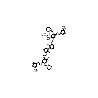 Cc1c(COc2cc(OCc3cncc(C#N)c3)c(CN3CCCC[C@H]3C)cc2Cl)cccc1-c1cccc(COc2cc(OCc3cncc(C#N)c3)c(CN3CCCC[C@H]3C(=O)O)cc2Cl)c1C